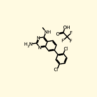 CNc1nc(N)nc2cc(-c3cc(Cl)ccc3Cl)ccc12.O=C(O)C(F)(F)F